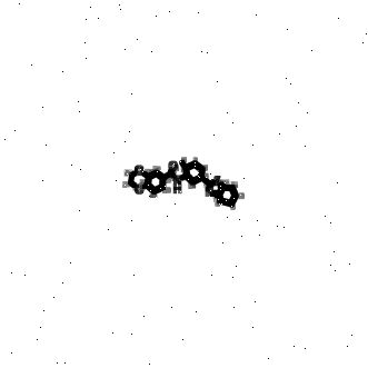 Cc1ccc(-c2nc3ccccc3s2)cc1NC(=O)c1ccc2c(c1)OCCO2